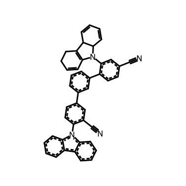 N#Cc1ccc(-c2cccc(-c3ccc(-n4c5ccccc5c5ccccc54)c(C#N)c3)c2)c(N2C3=C(CCC=C3)C3C=CC=CC32)c1